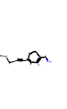 CCCCCCCCC#Cc1ccc(C[NH])cc1